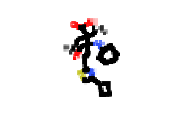 CCC(CC)(C(=O)O)C(C=O)(C=Cc1nc(C2CCC2)cs1)Nc1ccccc1